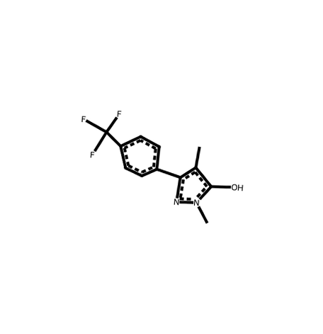 Cc1c(-c2ccc(C(F)(F)F)cc2)nn(C)c1O